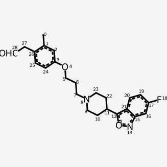 Cc1cc(OCCCN2CCC(c3onc4cc(F)ccc34)CC2)ccc1CC=O